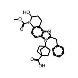 COC(=O)N1c2ccc3c(nc(Cc4ccccc4)n3C34CCC(C(=O)O)(CC3)C4)c2CC[C@@H]1O